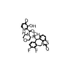 CN([C@@H]1c2ccc(F)c(F)c2Cn2c(=O)sc3cccc1c32)[C@@H]1COCCN1C(=O)c1[nH]ccc(=O)c1O